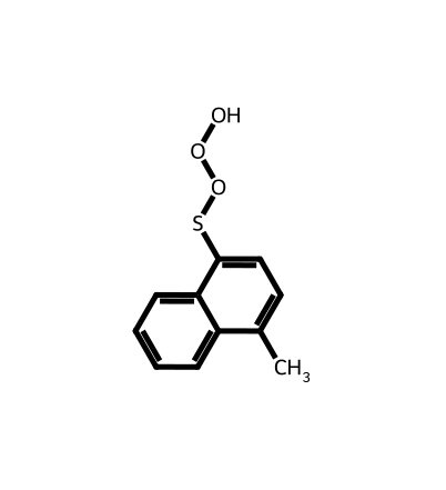 Cc1ccc(SOOO)c2ccccc12